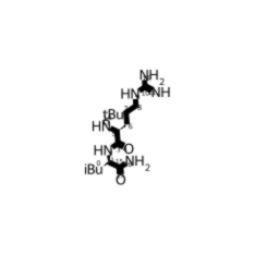 CC[C@@H](C)[C@@H](NC(=O)[C@@H](CCCNC(=N)N)NC(C)(C)C)C(N)=O